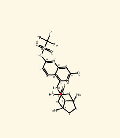 O=C(O)N1[C@@H]2CC[C@H]1CC(Nc1nc(Cl)cc3nc(OS(=O)(=O)C(F)(F)F)ccc13)C2